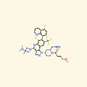 COC/C=C/C(=O)N1CC[C@H](n2nnc3c(N4CC(C)(N(C)C)C4)nc4c(F)c(-c5ccc(F)c6cccnc56)c(C(F)(F)F)cc4c32)C[C@H]1CC#N